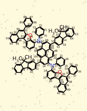 CC1(C)c2ccccc2-c2ccc(-c3cc(N(c4ccccc4)c4cccc5c4oc4c(-c6ccccc6)cc6ccccc6c45)c4ccc5c(-c6ccc7c(c6)C(C)(C)c6ccccc6-7)cc(N(c6ccccc6)c6cccc7c6oc6c(-c8ccccc8)cc8ccccc8c67)c6ccc3c4c56)cc21